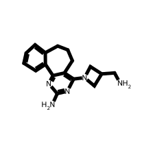 NCC1CN(c2nc(N)nc3c2CCCc2ccccc2-3)C1